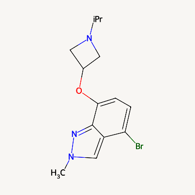 CC(C)N1CC(Oc2ccc(Br)c3cn(C)nc23)C1